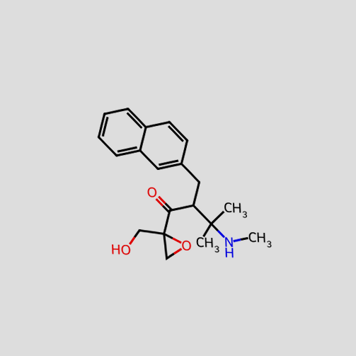 CNC(C)(C)C(Cc1ccc2ccccc2c1)C(=O)C1(CO)CO1